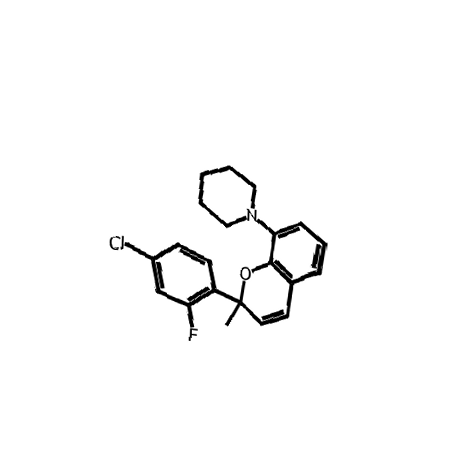 CC1(c2ccc(Cl)cc2F)C=Cc2cccc(N3CCCCC3)c2O1